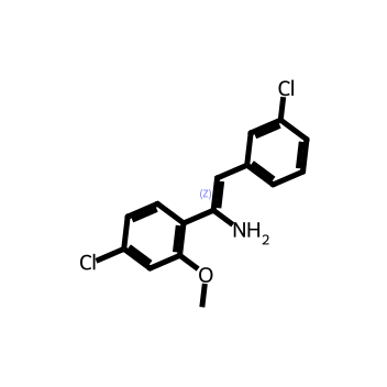 COc1cc(Cl)ccc1/C(N)=C/c1cccc(Cl)c1